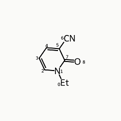 CCn1cccc(C#N)c1=O